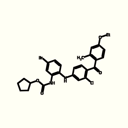 CCOc1ccc(C(=O)c2ccc(Nc3ccc(Br)cc3NC(=O)OC3CCCC3)cc2Cl)c(C)c1